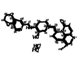 Cl.Cl.O=c1ccc2ncc(F)c3c2n1C(CN1CC[C@H](NCc2cc4c(cn2)OCCO4)[C@H](O)C1)CC3